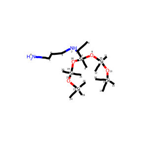 CC(NCCCN)[Si](C)(O[Si](C)(C)O[Si](C)(C)C)O[Si](C)(C)O[Si](C)(C)C